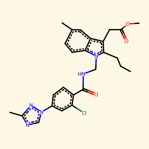 CCCc1c(CC(=O)OC)c2cc(C)ccc2n1CNC(=O)c1ccc(-n2cnc(C)n2)cc1Cl